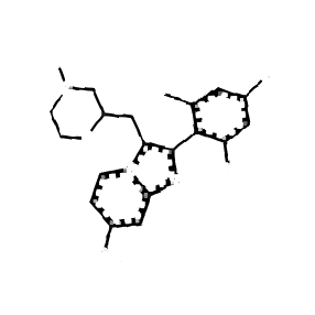 Cc1ccn2c(CC3CN(C)CCO3)c(-c3c(F)cc(S)cc3F)nc2c1